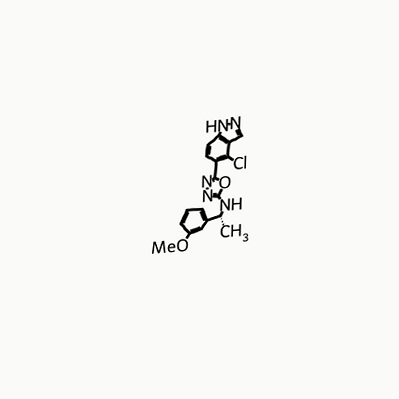 COc1cccc([C@@H](C)Nc2nnc(-c3ccc4[nH]ncc4c3Cl)o2)c1